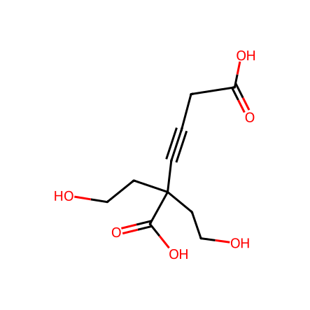 O=C(O)CC#CC(CCO)(CCO)C(=O)O